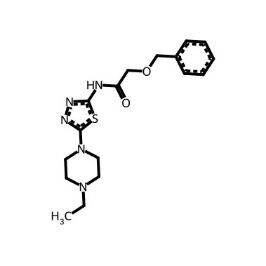 CCN1CCN(c2nnc(NC(=O)COCc3ccccc3)s2)CC1